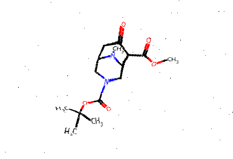 COC(=O)C1C(=O)CC2CN(C(=O)OC(C)(C)C)CC1N2C